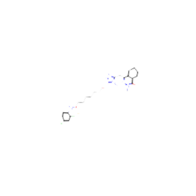 Cn1c(Cc2nn(C)c(=O)c3ccccc23)nnc1OCCCCCCCC(=O)Nc1ccc(Cl)cc1Cl